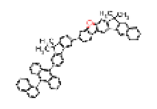 CC1(C)c2ccc(-c3ccc4c(c3)oc3cc5c(cc34)-c3cc4ccccc4cc3C5(C)C)cc2-c2ccc(-c3c4ccccc4c(-c4cccc5ccccc45)c4ccccc34)cc21